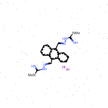 CNC(=N)NN=Cc1c2ccccc2c(C=NNC(=N)NC)c2ccccc12.I.I